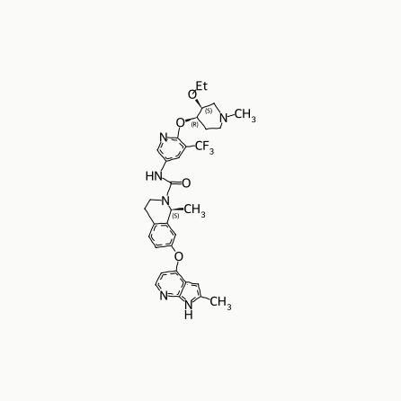 CCO[C@H]1CN(C)CC[C@H]1Oc1ncc(NC(=O)N2CCc3ccc(Oc4ccnc5[nH]c(C)cc45)cc3[C@@H]2C)cc1C(F)(F)F